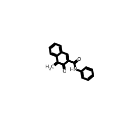 C=C1C(=O)C(C(=O)Nc2ccccc2)=Cc2ccccc21